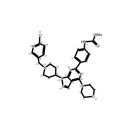 CNC(=O)Nc1ccc(-c2nc(N3CCOCC3)c3cnn(C4CCN(Cc5ccc(Cl)nc5)CC4)c3n2)cc1